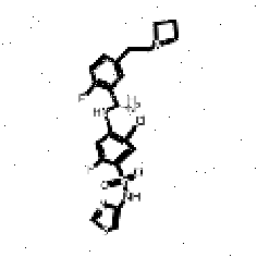 N[C@H](Nc1cc(F)c(S(=O)(=O)Nc2cscn2)cc1Cl)c1cc(CCN2CCC2)ccc1F